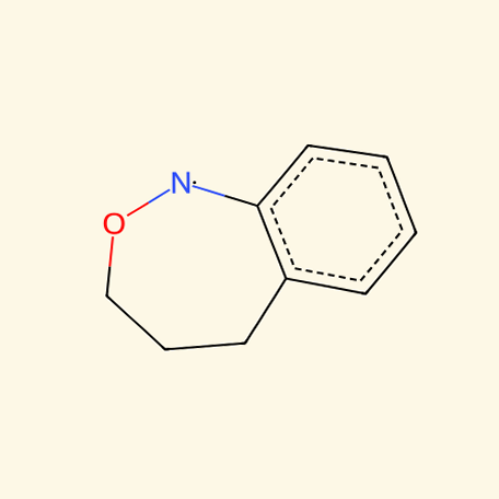 c1ccc2c(c1)CCCO[N]2